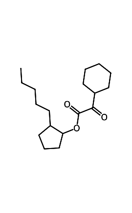 CCCCCC1CCCC1OC(=O)C(=O)C1CCCCC1